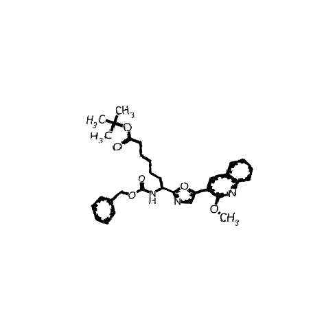 COc1nc2ccccc2cc1-c1cnc(C(CCCCCC(=O)OC(C)(C)C)NC(=O)OCc2ccccc2)o1